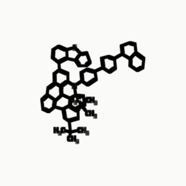 CC(C)(C)c1cc(-c2cccc3cccc(-c4ccccc4N(c4ccc(-c5ccc(-c6cccc7ccccc67)cc5)cc4)c4cccc(-c5cccc6sc7ccccc7c56)c4)c23)cc(C(C)(C)C)c1